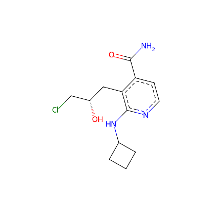 NC(=O)c1ccnc(NC2CCC2)c1C[C@H](O)CCl